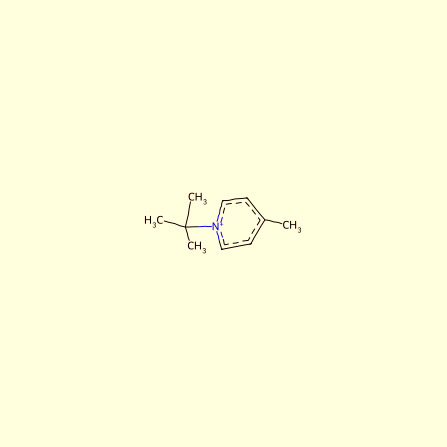 Cc1cc[n+](C(C)(C)C)cc1